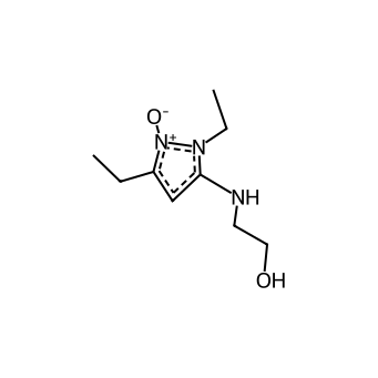 CCc1cc(NCCO)n(CC)[n+]1[O-]